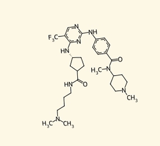 CN(C)CCCCNC(=O)C1CC[C@@H](Nc2nc(Nc3ccc(C(=O)N(C)C4CCN(C)CC4)cc3)ncc2C(F)(F)F)C1